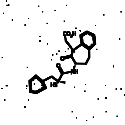 C[C@](S)(Cc1ccccc1)C(=O)N[C@H]1CCc2ccccc2N(CC(=O)O)C1=O